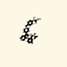 CC(C)N(C)C(=O)c1cc(F)ccc1-n1cc(C2CCN(CC3CCC(NC(=O)O)CC3)CC2)c2ccncc21